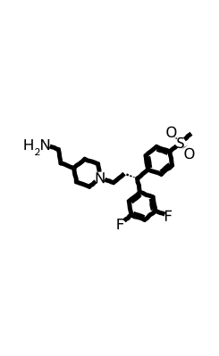 CS(=O)(=O)c1ccc([C@@H](CCN2CCC(CCN)CC2)c2cc(F)cc(F)c2)cc1